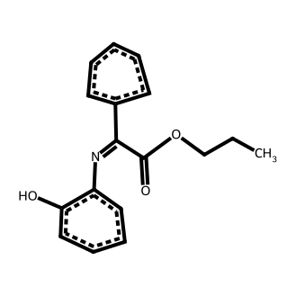 CCCOC(=O)C(=Nc1ccccc1O)c1ccccc1